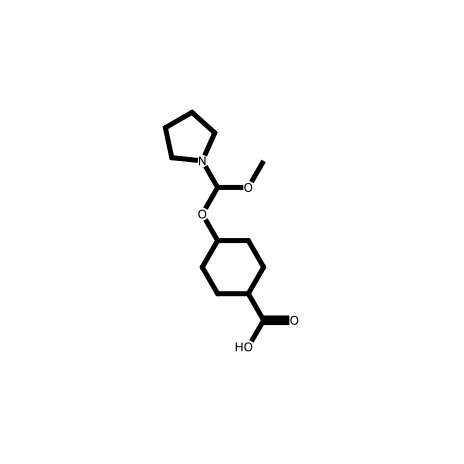 COC(OC1CCC(C(=O)O)CC1)N1CCCC1